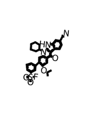 CC(C)Oc1cc2c(=O)c3c4ccc(C#N)cc4[nH]c3n(C3CCCCC3)c2cc1-c1cccc(S(=O)(=O)F)c1